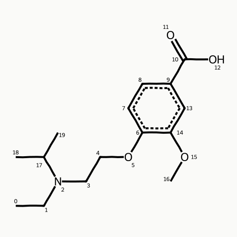 CCN(CCOc1ccc(C(=O)O)cc1OC)C(C)C